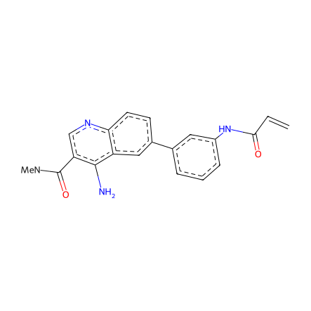 C=CC(=O)Nc1cccc(-c2ccc3ncc(C(=O)NC)c(N)c3c2)c1